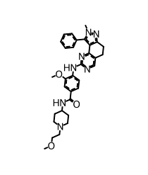 COCCN1CCC(NC(=O)c2ccc(Nc3ncc4c(n3)-c3c(nn(C)c3-c3ccccc3)CC4)c(OC)c2)CC1